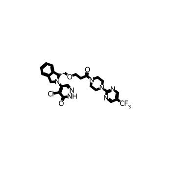 O=C(CCOC[C@H]1c2ccccc2CN1c1cn[nH]c(=O)c1Cl)N1CCN(c2ncc(C(F)(F)F)cn2)CC1